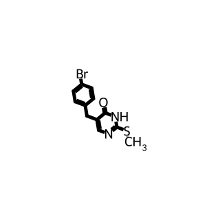 CSc1ncc(Cc2ccc(Br)cc2)c(=O)[nH]1